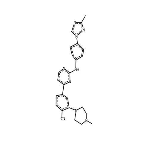 Cc1ncn(-c2ccc(Nc3nccc(-c4ccc(C#N)c(N5CCN(C)CC5)c4)n3)cc2)n1